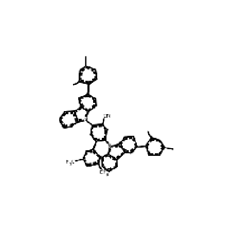 Cc1ccc(-c2ccc3c(c2)c2ccccc2n3-c2cc(-c3cc(C(F)(F)F)cc(C(F)(F)F)c3)c(-n3c4ccccc4c4cc(-c5ccc(C)cc5C)ccc43)cc2C#N)c(C)c1